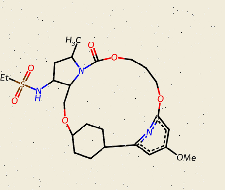 CCS(=O)(=O)NC1CC(C)N2C(=O)OCCCOc3cc(OC)cc(n3)C3CCC(CC3)OCC12